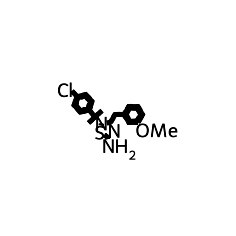 COc1cccc(CC2N=C(N)SN2C(C)(C)c2ccc(Cl)cc2)c1